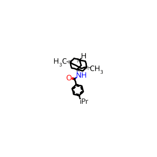 CC(C)c1ccc(C(=O)N[C@]23C[C@@H]4C[C@@](C)(C[C@@](C)(C4)C2)C3)cc1